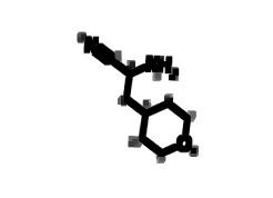 N#CC(N)CC1CCOCC1